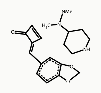 CNN(C)C1CCNCC1.O=C1C=CC1=Cc1ccc2c(c1)OCO2